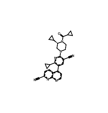 N#Cc1ccc2c(-c3cc(C#N)c(N4CCN(C(=O)C5CC5)[C@H](C5CC5)C4)nc3C3CC3)ccnc2n1